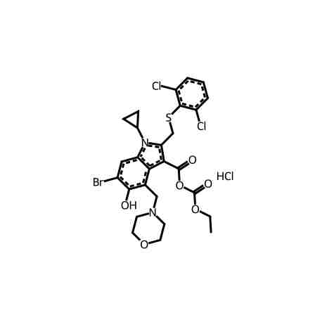 CCOC(=O)OC(=O)c1c(CSc2c(Cl)cccc2Cl)n(C2CC2)c2cc(Br)c(O)c(CN3CCOCC3)c12.Cl